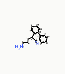 N#CC(CCCN)c1ccccc1-c1ccccc1